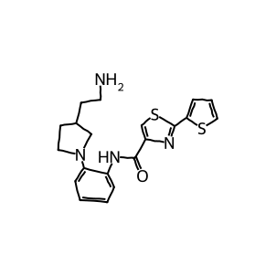 NCCC1CCN(c2ccccc2NC(=O)c2csc(-c3cccs3)n2)C1